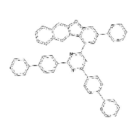 c1ccc(-c2ccc(-c3nc(-c4ccc(-c5ccccc5)cc4)nc(-c4cc(-c5ccccc5)cc5oc6cc7ccccc7cc6c45)n3)cc2)cc1